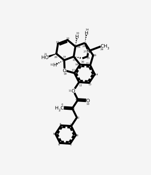 C=C(Cc1ccccc1)C(=O)Oc1ccc2c3c1O[C@H]1[C@@H](O)C=C[C@H]4[C@@H](C2)N(C)CC[C@@]341